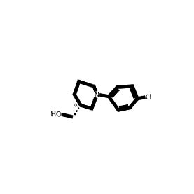 OC[C@@H]1CCCN(c2ccc(Cl)cc2)C1